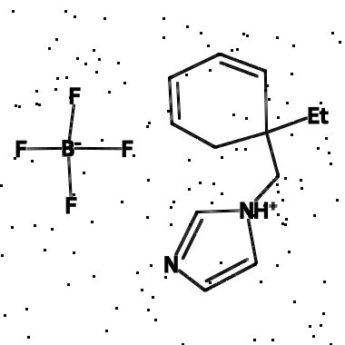 CCC1(C[NH+]2C=CN=C2)C=CC=CC1.F[B-](F)(F)F